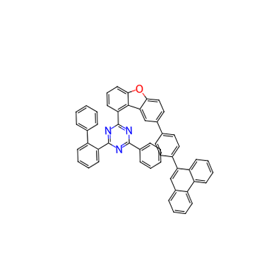 c1ccc(-c2nc(-c3ccccc3-c3ccccc3)nc(-c3cccc4oc5ccc(-c6ccc(-c7cc8ccccc8c8ccccc78)cc6)cc5c34)n2)cc1